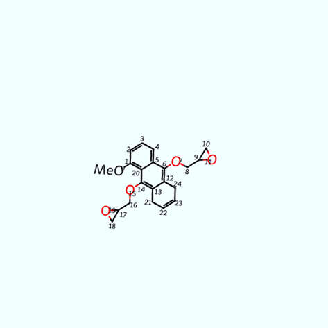 COc1cccc2c(OCC3CO3)c3c(c(OCC4CO4)c12)CC=CC3